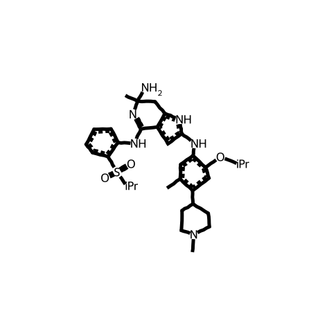 Cc1cc(Nc2cc3c([nH]2)CC(C)(N)N=C3Nc2ccccc2S(=O)(=O)C(C)C)c(OC(C)C)cc1C1CCN(C)CC1